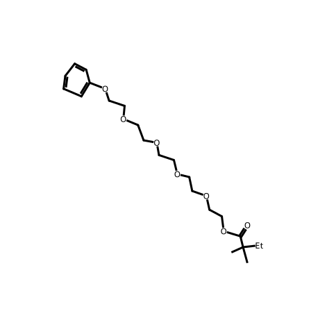 CCC(C)(C)C(=O)OCCOCCOCCOCCOCCOc1ccccc1